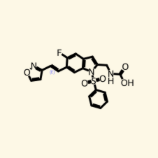 O=C(O)NCc1cc2cc(F)c(/C=C/c3ccon3)cc2n1S(=O)(=O)c1ccccc1